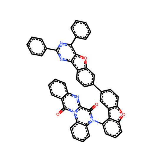 O=c1c2nc3ccccc3c(=O)n2c2ccccc2n1-c1cccc2oc3ccc(-c4ccc5c(c4)oc4c(-c6ccccc6)nc(-c6ccccc6)nc45)cc3c12